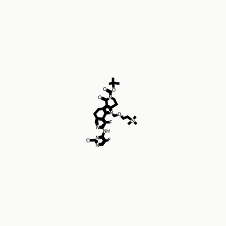 CC(C)(C)OC(=O)N1CCc2c(c3c(n2COCC[Si](C)(C)C)-c2c(cnc(Nc4nc(Cl)ncc4F)c2F)CC3)C1=O